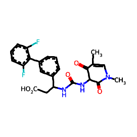 CC1=CN(C)C(=O)C(NC(=O)NC(CC(=O)O)c2cccc(-c3c(F)cccc3F)c2)C1=O